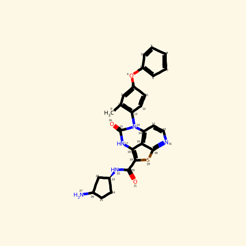 Cc1cc(Oc2ccccc2)ccc1N1C(=O)Nc2c(C(=O)N[C@H]3CCC(N)C3)sc3nccc1c23